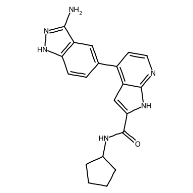 Nc1n[nH]c2ccc(-c3ccnc4[nH]c(C(=O)NC5CCCC5)cc34)cc12